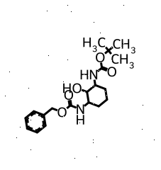 CC(C)(C)OC(=O)NC1CCCC(NC(=O)OCc2ccccc2)C1O